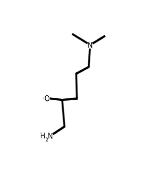 CN(C)CCCC([O])CN